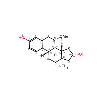 CO[C@H]1Cc2cc(O)ccc2[C@H]2CC[C@]3(C)C[C@@H](O)C[C@H]3[C@H]12